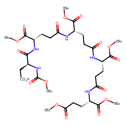 CC(C)(C)OC(=O)CC[C@H](NC(=O)CC[C@H](NC(=O)CC[C@H](NC(=O)CC[C@H](NC(=O)[C@H](CC(=O)O)NC(=O)OC(C)(C)C)C(=O)OC(C)(C)C)C(=O)OC(C)(C)C)C(=O)OC(C)(C)C)C(=O)OC(C)(C)C